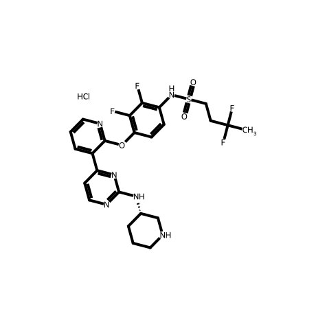 CC(F)(F)CCS(=O)(=O)Nc1ccc(Oc2ncccc2-c2ccnc(N[C@H]3CCCNC3)n2)c(F)c1F.Cl